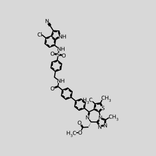 COC(=O)C[C@@H]1N=C(c2ccc(-c3ccc(C(=O)NCc4ccc(S(=O)(=O)Nc5ccc(Cl)c6c(C#N)c[nH]c56)cc4)cc3)cc2)c2c(sc(C)c2C)-n2c(C)nnc21